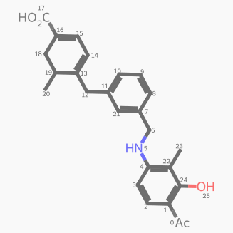 CC(=O)c1ccc(NCc2cccc(CC3=CC=C(C(=O)O)CC3C)c2)c(C)c1O